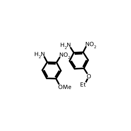 CCOc1ccc(N)c([N+](=O)[O-])c1.COc1ccc(N)c([N+](=O)[O-])c1